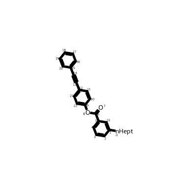 CCCCCCCc1cccc(C(=O)Oc2ccc(C#Cc3ccccc3)cc2)c1